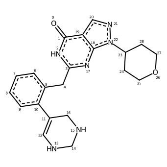 O=c1[nH]c(Cc2ccccc2C2=CNCNC2)nc2c1cnn2C1CCOCC1